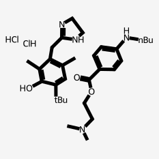 CCCCNc1ccc(C(=O)OCCN(C)C)cc1.Cc1cc(C(C)(C)C)c(O)c(C)c1CC1=NCCN1.Cl.Cl